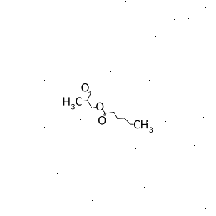 CCCCCC(=O)OCC(C)C=O